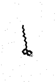 CCCCCCCCCCCc1cccc2cnccc12